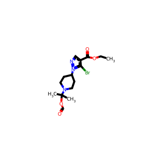 CCOC(=O)c1cnn(C2CCN(C(C)(C)OC=O)CC2)c1Br